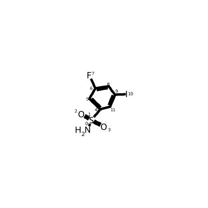 NS(=O)(=O)c1cc(F)cc(I)c1